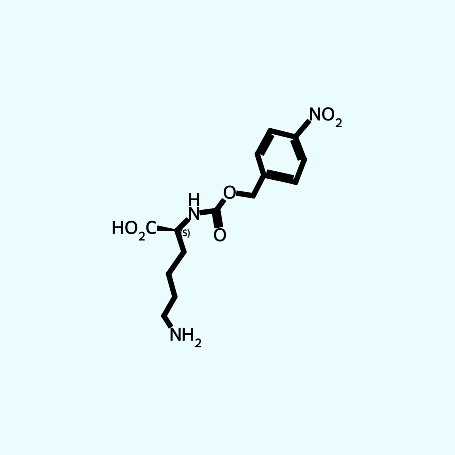 NCCCC[C@H](NC(=O)OCc1ccc([N+](=O)[O-])cc1)C(=O)O